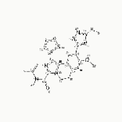 C=C(C)N(C)C(=O)c1nc(-c2cccs2)c2n1CCc1cc(OC)c(-c3nnn(CC)n3)cc1-2